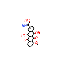 COC1CCCC2C(=O)C3C(O)C4C[C@@H](C(=N)CO)CCC4C(O)C3C(=O)C12